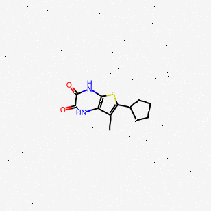 Cc1c(C2CCCC2)sc2[nH]c(=O)c(=O)[nH]c12